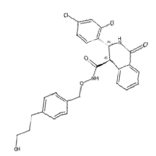 O=C1N[C@@H](c2ccc(Cl)cc2Cl)[C@H](C(=O)NOCc2ccc(CCCO)cc2)c2ccccc21